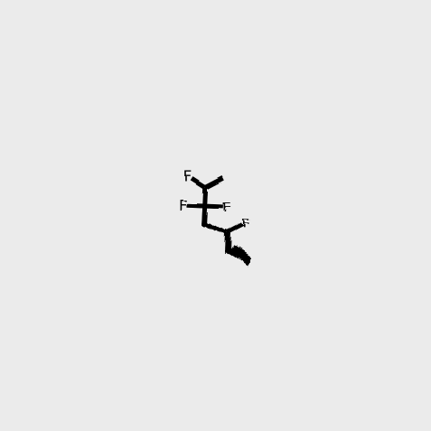 C=CC(F)CC(F)(F)C(C)F